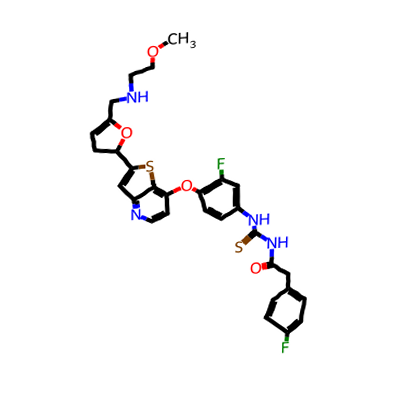 COCCNCC1=CCC(c2cc3nccc(Oc4ccc(NC(=S)NC(=O)Cc5ccc(F)cc5)cc4F)c3s2)O1